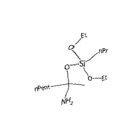 CCCCCC(C)(N)O[Si](CCC)(OCC)OCC